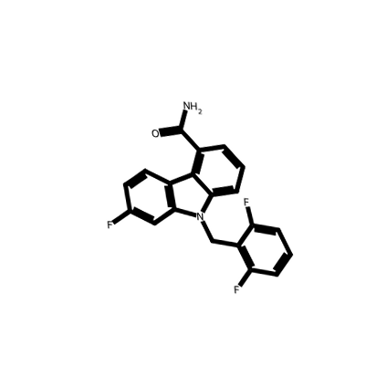 NC(=O)c1cccc2c1c1[c]cc(F)cc1n2Cc1c(F)cccc1F